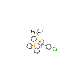 CCCSc1oc(-c2ccc(Cl)cc2)nc1[P+](c1ccccc1)(c1ccccc1)c1ccccc1.[I-]